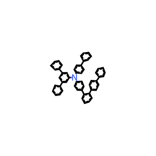 c1ccc(-c2ccc(-c3ccccc3-c3ccc(N(c4ccc(-c5ccccc5)cc4)c4cc(-c5ccccc5)cc(-c5ccccc5)c4)cc3)cc2)cc1